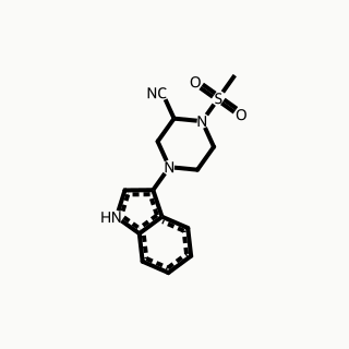 CS(=O)(=O)N1CCN(c2c[nH]c3ccccc23)CC1C#N